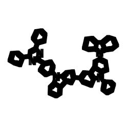 c1ccc(-c2cc(-c3ccccc3)nc(-c3ccc(-n4c5ccccc5c5cc(-c6ccc7c(c6)c6cc(-n8c9ccccc9c9ccccc98)ccc6n7-c6ccccc6)ccc54)cc3)n2)cc1